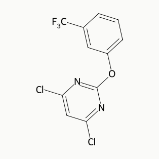 FC(F)(F)c1cccc(Oc2nc(Cl)cc(Cl)n2)c1